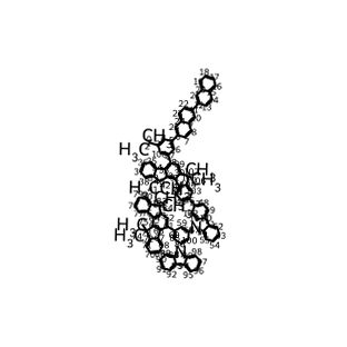 CC(C)c1cc(-c2ccc3cc(-c4ccc5ccccc5c4)ccc3c2)cc(-c2cc3c(c4c2-c2ccccc2C4(C)C)-c2ccc(-c4ccc5c6ccccc6n(-c6cc(-c7cc8c(c9c7-c7ccccc7C9(C)C)-c7ccccc7C8(C)C)cc(-n7c8ccccc8c8ccccc87)c6)c5c4)cc2C3(C)C)c1